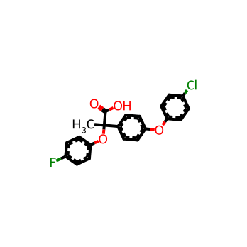 CC(Oc1ccc(F)cc1)(C(=O)O)c1ccc(Oc2ccc(Cl)cc2)cc1